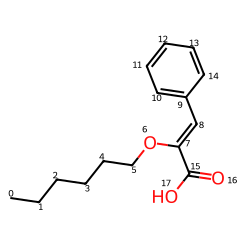 CCCCCCOC(=Cc1ccccc1)C(=O)O